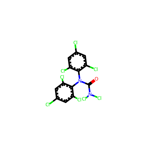 O=C(N(Cl)Cl)N(c1c(Cl)cc(Cl)cc1Cl)c1c(Cl)cc(Cl)cc1Cl